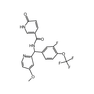 COc1ccnc(C(NC(=O)c2ccc(=O)[nH]c2)c2ccc(OC(F)(F)F)c(F)c2)c1